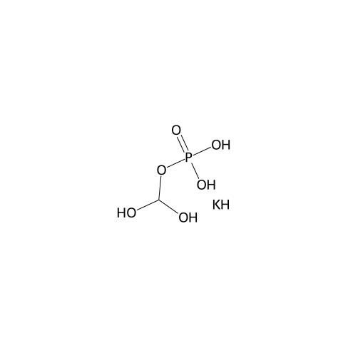 O=P(O)(O)OC(O)O.[KH]